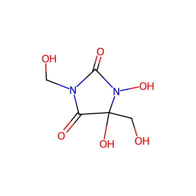 O=C1N(CO)C(=O)C(O)(CO)N1O